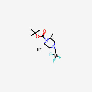 C[C@H]1CN(C[B-](F)(F)F)CCN1C(=O)OC(C)(C)C.[K+]